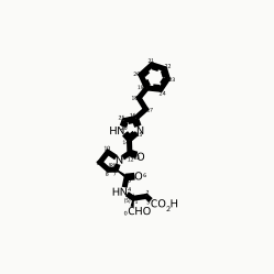 O=C[C@H](CC(=O)O)NC(=O)[C@H]1CCCN1C(=O)c1nc(CCc2ccccc2)c[nH]1